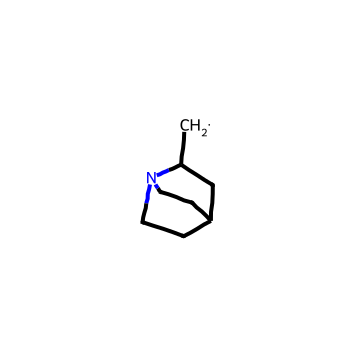 [CH2]C1CC2CCN1CC2